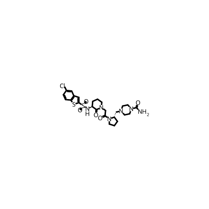 NC(=O)N1CCN(C[C@@H]2CCCN2C(=O)CN2CCC[C@H](NS(=O)(=O)c3cc4cc(Cl)ccc4s3)C2=O)CC1